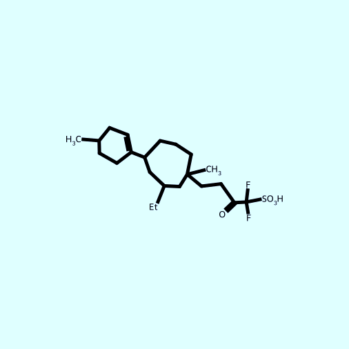 CCC1CC(C2=CCC(C)CC2)CCCC(C)(CCC(=O)C(F)(F)S(=O)(=O)O)C1